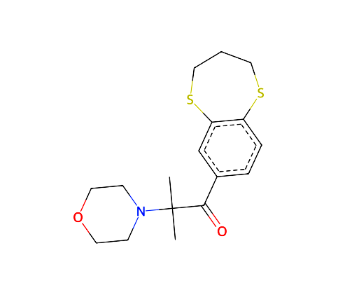 CC(C)(C(=O)c1ccc2c(c1)SCCCS2)N1CCOCC1